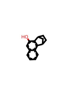 Oc1cc2ccccc2c2c1C1CCC2C1